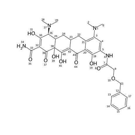 CN(C)c1cc(NC(=O)COCc2ccccc2)c(O)c2c1CC1CC3[C@H](N(C)C)C(O)=C(C(N)=O)C(=O)C3(O)C(O)=C1C2=O